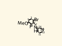 COc1ccc(Br)c(CNc2cccnc2)c1F